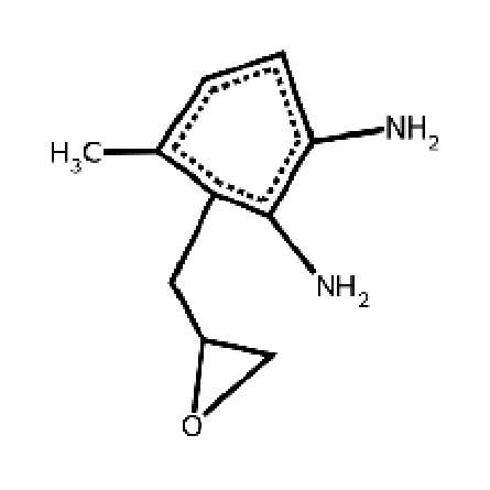 Cc1ccc(N)c(N)c1CC1CO1